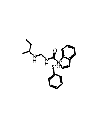 CCC(C)NCNC(=O)[N@+]1(Sc2ccccc2)C=Cc2ccccc21